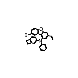 C=Cc1cc(N(c2ccccc2)c2ccc3c(c2)CC3)c2c(c1)oc1ccc(Br)cc12